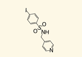 O=S(=O)(NCc1ccncc1)c1ccc(I)cc1